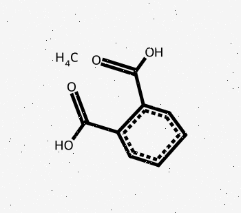 C.O=C(O)c1ccccc1C(=O)O